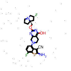 N#Cc1c(N)sc2c(F)ccc(N3CCc4c(O)nc(OC[C@@]56CCCN5C[C@H](F)C6)nc4C3)c12